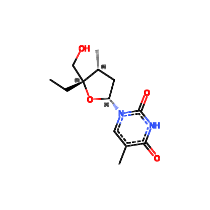 CC[C@]1(CO)O[C@@H](n2cc(C)c(=O)[nH]c2=O)C[C@H]1C